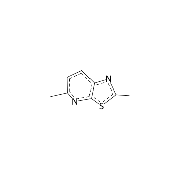 Cc1ccc2nc(C)sc2n1